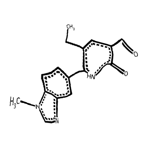 CCc1cc(C=O)c(=O)[nH]c1-c1ccc2c(c1)ncn2C